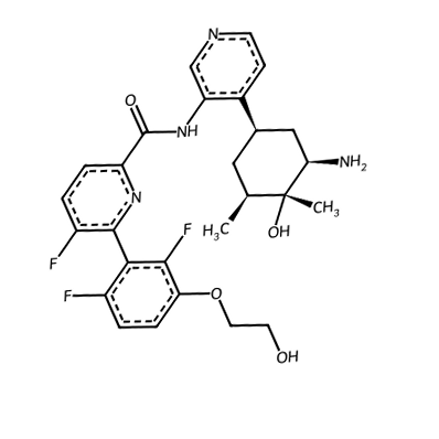 C[C@H]1C[C@@H](c2ccncc2NC(=O)c2ccc(F)c(-c3c(F)ccc(OCCO)c3F)n2)C[C@@H](N)[C@]1(C)O